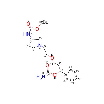 CC(C)(C)OC(=O)NC1CCN(CCOCCC(OC(N)=O)c2ccccc2)C1